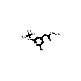 COC(=O)Cc1cc(Br)nc(NC(C)(C)C)c1